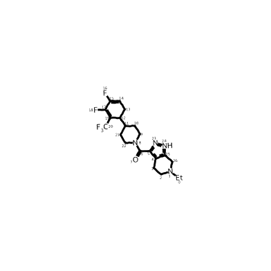 CCN1CCc2c(C(=O)N3CCC(C4CC=C(F)C(F)=C4C(F)(F)F)CC3)n[nH]c2C1